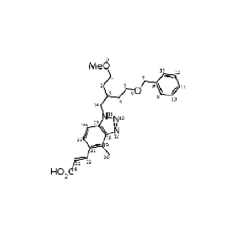 COCCC(CCOCc1ccccc1)Cn1nnc2c(C)c(C=CC(=O)O)ccc21